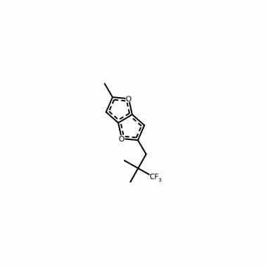 Cc1cc2oc(CC(C)(C)C(F)(F)F)cc2o1